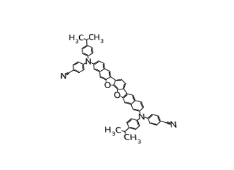 CC(C)c1ccc(N(c2ccc(C#N)cc2)c2ccc3cc4c(cc3c2)oc2c4ccc3c4cc5ccc(N(c6ccc(C#N)cc6)c6ccc(C(C)C)cc6)cc5cc4oc32)cc1